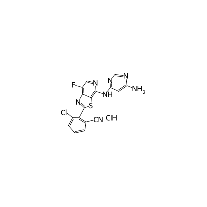 Cl.N#Cc1cccc(Cl)c1-c1nc2c(F)cnc(Nc3cc(N)ncn3)c2s1